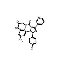 O=C1CN2C(=O)N3C(c4cccnc4)=NC(c4ccc(Cl)cc4)C3c3cc(C(F)(F)F)cc(c32)N1